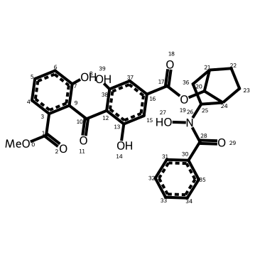 COC(=O)c1cccc(O)c1C(=O)c1c(O)cc(C(=O)OC2C3CCC2C(N(O)C(=O)c2ccccc2)C3)cc1O